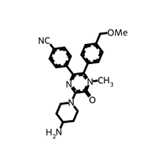 COCc1ccc(-c2c(-c3ccc(C#N)cc3)nc(N3CCC(N)CC3)c(=O)n2C)cc1